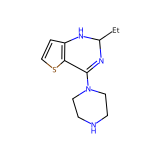 CCC1N=C(N2CCNCC2)c2sccc2N1